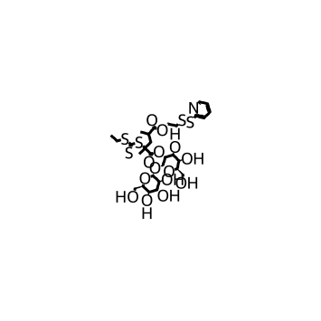 CCSC(=S)SC(C)(CC(C)C(=O)OCCSSc1ccccn1)C(=O)O[C@H]1[C@@H](O[C@H]2O[C@H](CO)[C@@H](O)[C@H](O)[C@H]2O)O[C@H](CO)[C@@H](O)[C@@H]1O